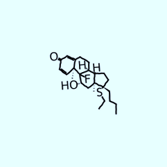 CCCC[C@]1(SCC)CC[C@H]2[C@@H]3CCC4=CC(=O)C=C[C@]4(C)C3(F)[C@@H](O)C[C@@]21C